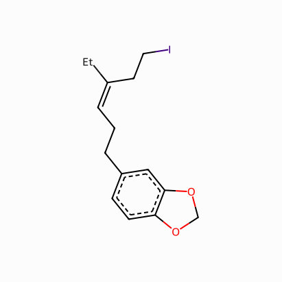 CCC(=CCCc1ccc2c(c1)OCO2)CCI